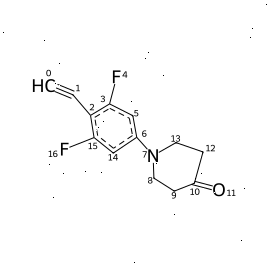 C#Cc1c(F)cc(N2CCC(=O)CC2)cc1F